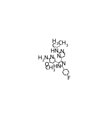 CC[C@@H](C)Nc1nccc(-c2nc(-c3ccc(F)cc3)[nH]c2-c2cnc(N)c(OC)c2)n1